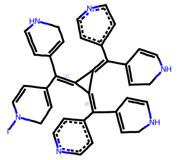 IN1C=CC(/C(C2=CCNC=C2)=C2/C(=C(C3=CCNC=C3)c3ccncc3)/C2=C(\C2=CCNC=C2)c2ccncc2)=CC1